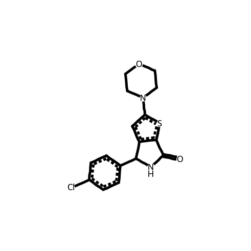 O=C1NC(c2ccc(Cl)cc2)c2cc(N3CCOCC3)sc21